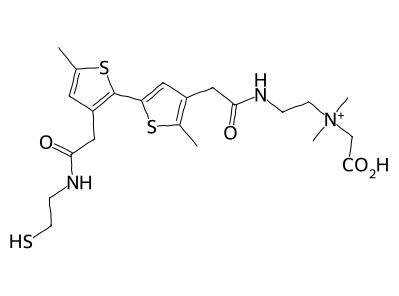 Cc1cc(CC(=O)NCCS)c(-c2cc(CC(=O)NCC[N+](C)(C)CC(=O)O)c(C)s2)s1